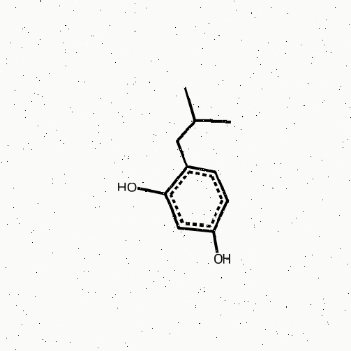 C[C](C)Cc1ccc(O)cc1O